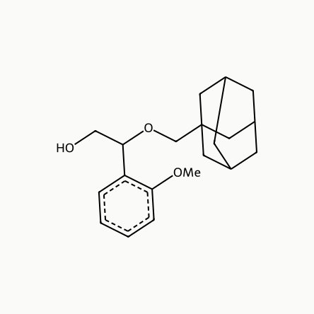 COc1ccccc1C(CO)OCC12CC3CC(CC(C3)C1)C2